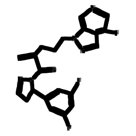 C=C(CCCn1ncc2c(F)cncc21)C(=O)N1N=CCC1c1cc(F)cc(F)c1